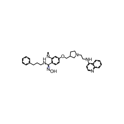 C=Nc1cc(OCC2CCN(CCNc3ccnc4ccccc34)C2)ccc1/C(=N\O)NCCCc1ccccc1